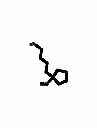 CCCOCCOC1(OC)CCCC1